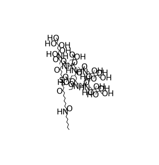 CCCCCCCNC(=O)CCCCCCC(=O)CCSSCCCC(=O)[C@H](CCC(=O)N[C@@H](O)[C@H](O)C[C@H](O)[C@H](O)CO)NC(=O)[C@H](CCC(=O)O)CC(=O)[C@H](CCC(=O)NC[C@H](O)[C@@H](O)[C@H](O)[C@H](O)CO)NC(=O)[C@H](CCC(=O)O)CC(=O)[C@H](CCC(=O)NC[C@H](O)[C@@H](O)[C@H](O)[C@H](O)CO)NC(=O)CC